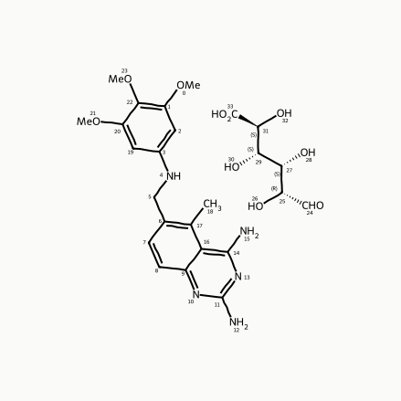 COc1cc(NCc2ccc3nc(N)nc(N)c3c2C)cc(OC)c1OC.O=C[C@H](O)[C@@H](O)[C@H](O)[C@H](O)C(=O)O